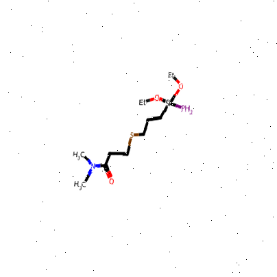 CCO[Si](P)(CCCSCCC(=O)N(C)C)OCC